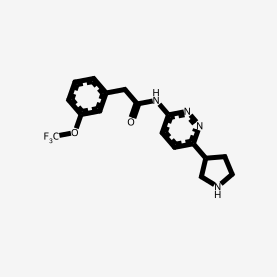 O=C(Cc1cccc(OC(F)(F)F)c1)Nc1ccc(C2CCNC2)nn1